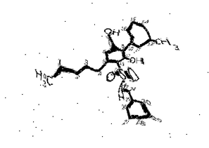 CCCCCc1cc(O)c(C2C=C(C)CCC2)c(O)c1S(=O)(=O)NCc1ccccc1